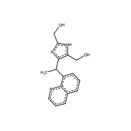 CC(c1nc(CO)[nH]c1CO)c1cccc2cccnc12